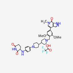 COc1cc(-c2cn(C)c(=O)c3[nH]ncc23)cc(OC)c1CN1CCC(C2CCN(c3ccc(NC4CCC(=O)NC4=O)cc3)CC2)CC1.O=C(O)C(F)(F)F